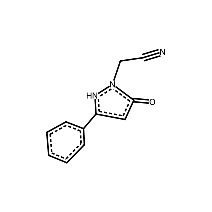 N#CCn1[nH]c(-c2ccccc2)cc1=O